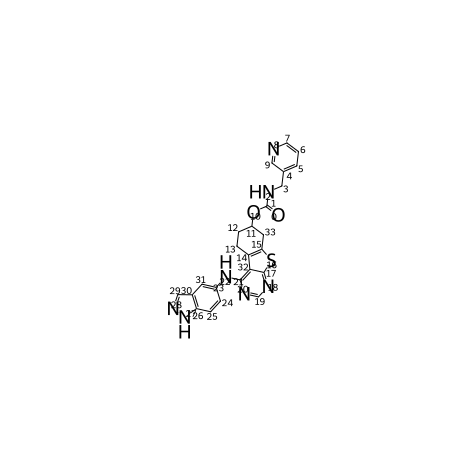 O=C(NCc1cccnc1)OC1CCc2c(sc3ncnc(Nc4ccc5[nH]ncc5c4)c23)C1